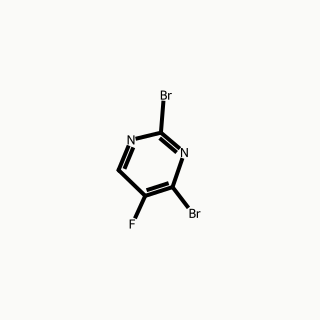 Fc1cnc(Br)nc1Br